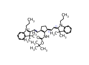 CCCN1/C(=C/C=C2\CCC(/C=C/C3=[N+](CCC)c4ccccc4C3(C)C)=C2NC(=O)OC(C)(C)C)C(C)(C)c2ccccc21